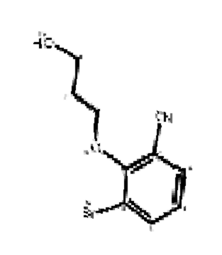 N#Cc1cccc(Br)c1OCCCO